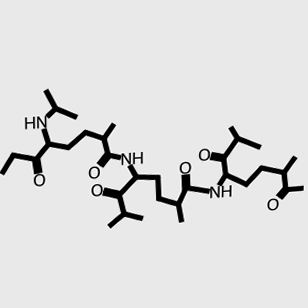 CCC(=O)C(CCC(C)C(=O)NC(CCC(C)C(=O)NC(CCC(C)C(C)=O)C(=O)C(C)C)C(=O)C(C)C)NC(C)C